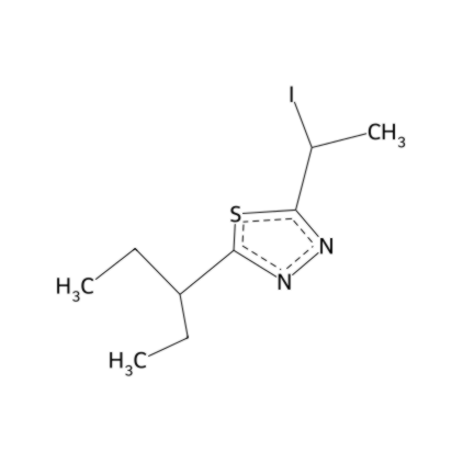 CCC(CC)c1nnc(C(C)I)s1